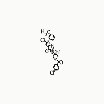 Cc1cccc(-n2c(Cl)cc3c(=O)n(CC4(O)CCN(C(=O)c5ccc(Cl)cc5)CC4)cnc32)c1